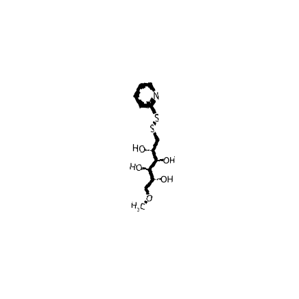 COC[C@@H](O)[C@@H](O)[C@H](O)[C@H](O)CSSc1ccccn1